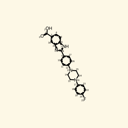 O=C(O)c1ccc2[nH]c(-c3ccc(N4CCN(c5ccc(F)cc5)CC4)cc3)nc2c1